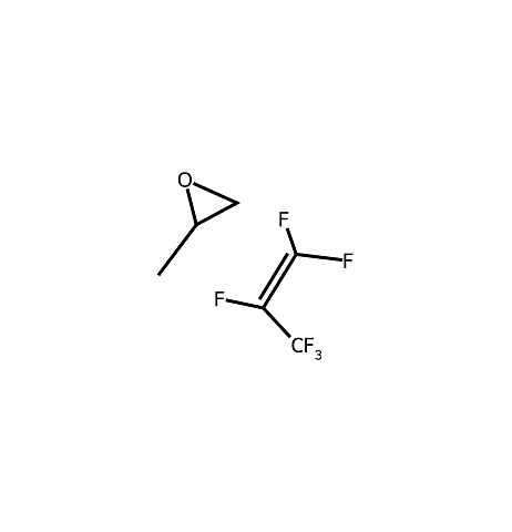 CC1CO1.FC(F)=C(F)C(F)(F)F